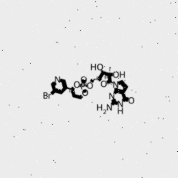 C[C@@]1(O)[C@H](O)[C@@H](CO[P@@]2(=O)OCC[C@@H](c3cncc(Br)c3)O2)O[C@H]1n1ccc2c(=O)[nH]c(N)nc21